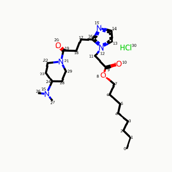 CCCCCCCCOC(=O)Cn1ccnc1CCC(=O)N1CCC(N(C)C)CC1.Cl